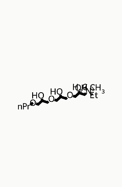 CCCOCC(O)COCC(O)COCC(O)C[N+](C)(C)CC